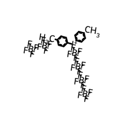 Cc1ccc([I+]c2ccc(C)cc2)cc1.F[B-](F)(F)F.F[B-](F)(F)F.F[B-](F)(F)F.F[B-](F)(F)F.F[B-](F)(F)F.F[B-](F)(F)F